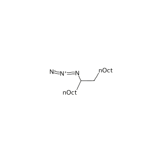 CCCCCCCCCC(CCCCCCCC)N=[N+]=[N-]